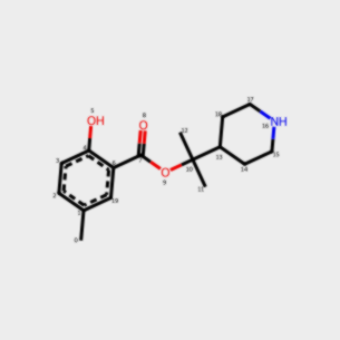 Cc1ccc(O)c(C(=O)OC(C)(C)C2CCNCC2)c1